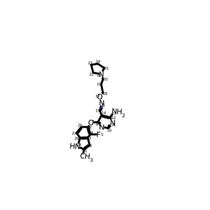 Cc1cc2c(F)c(Oc3ncnc(N)c3/C=N/OCCCN3CCCC3)ccc2[nH]1